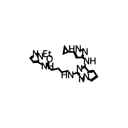 CCn1nccc1NC(=O)CCCCNc1nc(Nc2cc(C3CC3)[nH]n2)c2cccn2n1